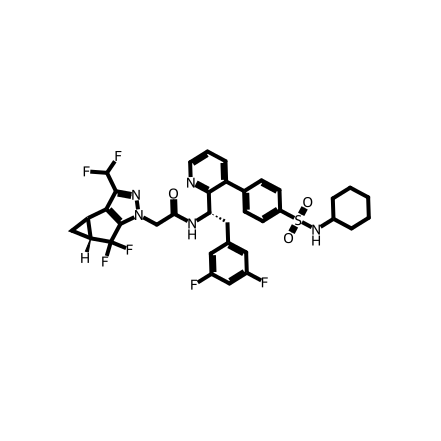 O=C(Cn1nc(C(F)F)c2c1C(F)(F)[C@@H]1CC21)N[C@@H](Cc1cc(F)cc(F)c1)c1ncccc1-c1ccc(S(=O)(=O)NC2CCCCC2)cc1